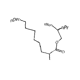 CCCCCCCCCCCCCCCCC(C)C(=O)OCC(CCC)CCCCCCCCC